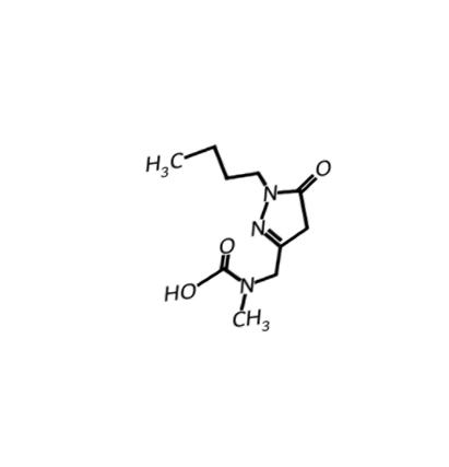 CCCCN1N=C(CN(C)C(=O)O)CC1=O